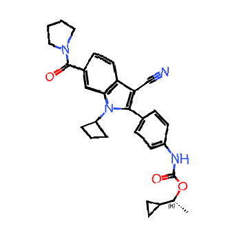 C[C@@H](OC(=O)Nc1ccc(-c2c(C#N)c3ccc(C(=O)N4CCCC4)cc3n2C2CCC2)cc1)C1CC1